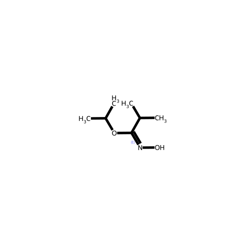 CC(C)O/C(=N/O)C(C)C